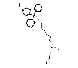 COCCOP(=O)(OC)OCCCCCCONC(c1ccccc1)(c1ccccc1)c1ccc(OC)cc1